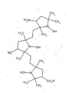 CC1(C)CC(N)C(C)(CCC2(C)CC(C#N)C(C)(CCC3(C)CC(C(=O)O)C(C)(C)N3O)N2O)N1O